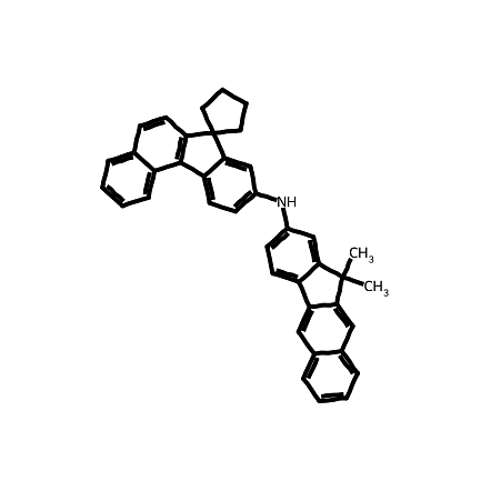 CC1(C)c2cc(Nc3ccc4c(c3)C3(CCCC3)c3ccc5ccccc5c3-4)ccc2-c2cc3ccccc3cc21